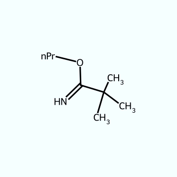 CCCOC(=N)C(C)(C)C